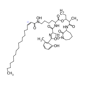 CCCCCCCCCCCCCCC/C=C\C(=O)N(O)CCCCC(NC(=O)C1COC(c2c(C)cccc2O)=N1)C(=O)OC(CC)C(C)C(=O)NC1CCCCN(O)C1=O